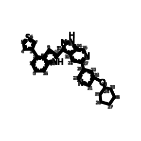 c1cc(-c2ccsc2)c2cc(-c3n[nH]c4cnc(-c5cncc(OC6CCCCC6)c5)cc34)[nH]c2c1